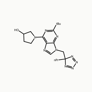 CCCC1(Cn2cnc3c(N4CCC(O)C4)nc(C(C)(C)C)nc32)N=NN=N1